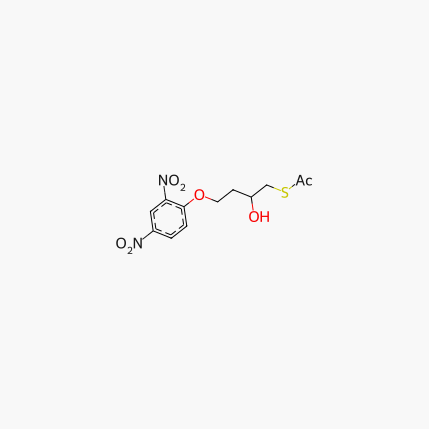 CC(=O)SCC(O)CCOc1ccc([N+](=O)[O-])cc1[N+](=O)[O-]